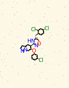 Clc1cccc(Oc2cn3nccc3cc2C2=NOC[C@@H](Cc3ccc(Cl)cc3Cl)N2)c1